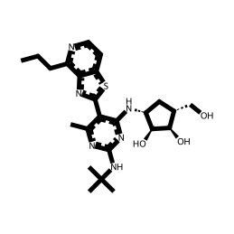 CCCc1nccc2sc(-c3c(C)nc(NC(C)(C)C)nc3N[C@@H]3C[C@H](CO)[C@@H](O)[C@H]3O)nc12